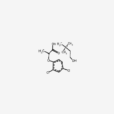 CC(Oc1ccc(Cl)cc1Cl)C(=O)O.C[N+](C)(C)CCO